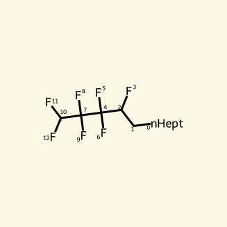 CCCCCCCCC(F)C(F)(F)C(F)(F)[C](F)F